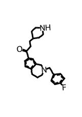 O=C(CCC1CCNCC1)c1ccc2c(c1)CN(Cc1ccc(F)cc1)CCC2